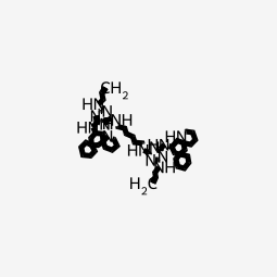 C=CCNc1nc(NCCCCCCNc2nc(NCC=C)nc(NC3CC4(CCCCC4)CC4(CCCCN4)C3)n2)nc(NC2CC3(CCCCC3)CC3(CCCCN3)C2)n1